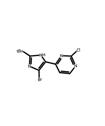 CC(C)(C)c1nc(Br)c(-c2ccnc(Cl)n2)[nH]1